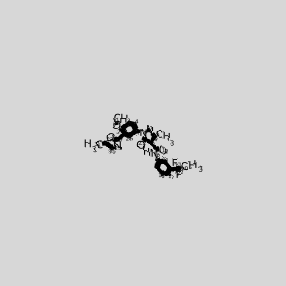 COc1ccc(N2N=C(C)C(C(=O)Nc3cccc(C(C)(F)F)c3)C2=O)cc1-c1ncc(C)o1